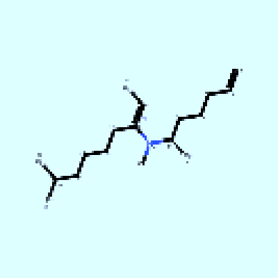 C=CCCC[C@@H](CC)N(C)/C(=C/CC)CCCCC(CC)CC